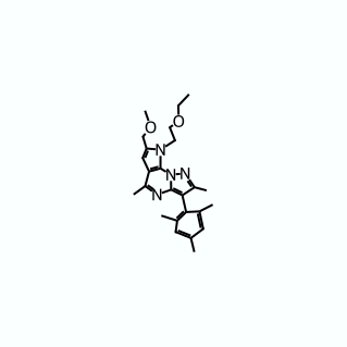 CCOCCn1c(COC)cc2c(C)nc3c(-c4c(C)cc(C)cc4C)c(C)nn3c21